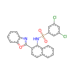 O=S(=O)(Nc1c(-c2nc3ccccc3o2)ccc2ccccc12)c1cc(Cl)cc(Cl)c1